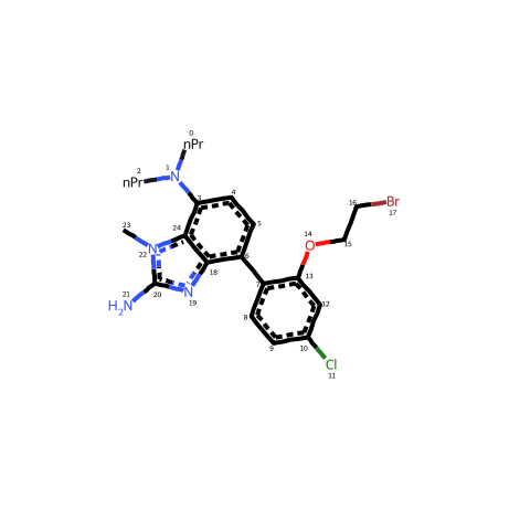 CCCN(CCC)c1ccc(-c2ccc(Cl)cc2OCCBr)c2nc(N)n(C)c12